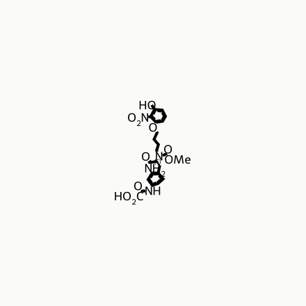 COC(=O)N(CCCCOc1cccc(O)c1[N+](=O)[O-])[C@@H](Cc1ccc(NC(=O)C(=O)O)cc1)C(N)=O